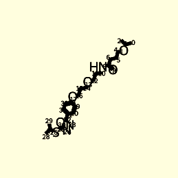 CC(C)OCCCC(=O)NCCCOCCCOc1ccc(-c2nnc(SC(C)C)o2)cc1